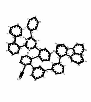 N#Cc1cccc(-c2ccccc2-c2nc(-c3ccccc3)nc(-c3ccccc3-c3ccccc3)n2)c1-c1cccc(-c2cccc(-c3cccc4c3-c3cccc5cccc-4c35)c2)c1